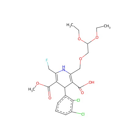 CCOC(COCC1=C(C(=O)O)C(c2cccc(Cl)c2Cl)C(C(=O)OC)=C(CF)N1)OCC